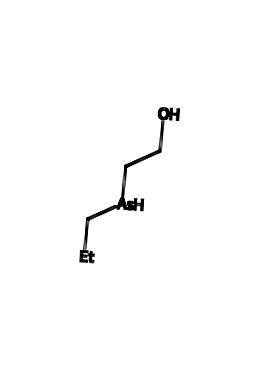 CCC[AsH]CCO